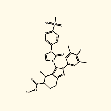 Cc1cc(-n2nc3c(c2-n2ccn(-c4ccc(S(C)(=N)=O)nc4)c2=O)[C@H](C)N(C(=O)OC(C)(C)C)CC3)cc(C)c1F